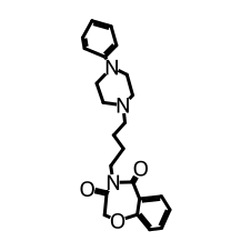 O=C1COc2ccccc2C(=O)N1CCCCN1CCN(c2ccccc2)CC1